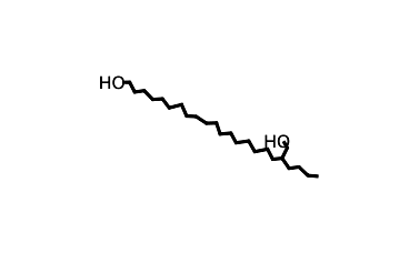 CCCCC(CO)CCCCCCCCCCCCCCCCCCO